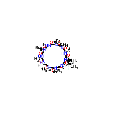 C=C1C(=O)N(C)[C@@H](CC(C)C)C(=O)N[C@H](C(C)C)C(=O)N(C)[C@H](CCC(C)C)C(=O)N[C@H](C)C(=O)N[C@@H](C)C(=O)N(C)[C@@H](CC(C)C)C(=O)N(C)[C@H](CC(C)C)C(=O)N(C)[C@H](C(C)C)C(=O)N(C)[C@H](C[C@H](C)C/C=C/C)C(=O)N[C@H](CC)C(=O)N1C